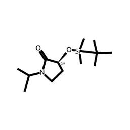 CC(C)N1CC[C@H](O[Si](C)(C)C(C)(C)C)C1=O